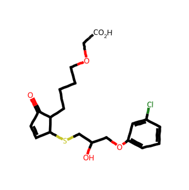 O=C(O)COCCCCC1C(=O)C=CC1SCC(O)COc1cccc(Cl)c1